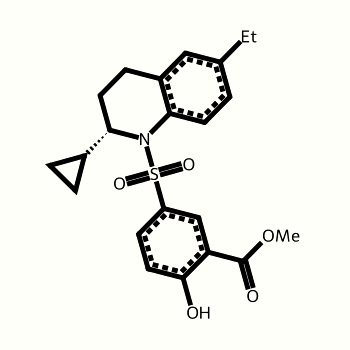 CCc1ccc2c(c1)CC[C@@H](C1CC1)N2S(=O)(=O)c1ccc(O)c(C(=O)OC)c1